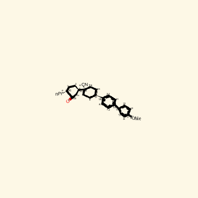 CCC[C@@H]1CC[C@@H]([C@]2(C#N)CC[C@H](c3ccc(-c4ccc(OC)cc4)cc3)CC2)CC1=O